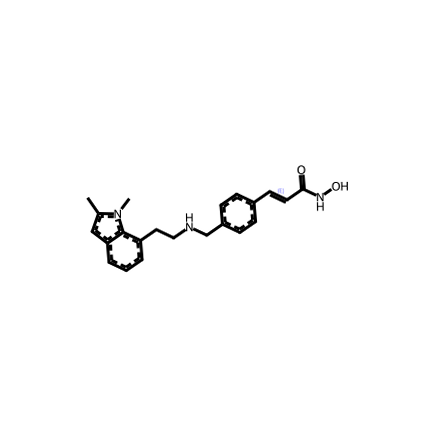 Cc1cc2cccc(CCNCc3ccc(/C=C/C(=O)NO)cc3)c2n1C